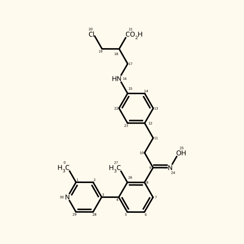 Cc1cc(-c2cccc(/C(CCc3ccc(NCC(CCl)C(=O)O)cc3)=N/O)c2C)ccn1